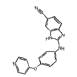 N#Cc1ccc2nc(Nc3ccc(Oc4ccncc4)cc3)[nH]c2c1